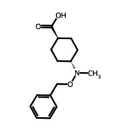 CN(OCc1ccccc1)[C@H]1CC[C@H](C(=O)O)CC1